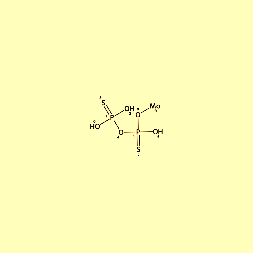 OP(O)(=S)OP(O)(=S)[O][Mo]